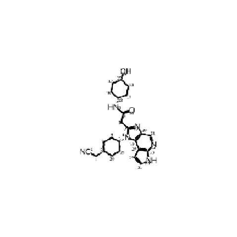 N#CC[C@H]1CC[C@H](n2c(CC(=O)N[C@H]3CC[C@H](O)CC3)nc3cnc4[nH]ccc4c32)CC1